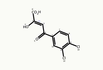 O=C(O)/C(O)=C/C(=O)c1ccc(Cl)c(Cl)c1